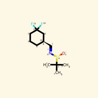 CC(C)(C)[S+]([O-])/N=C/[C@H]1CCCC(F)(F)C1